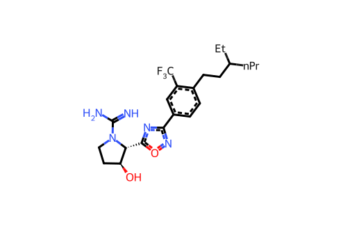 CCCC(CC)CCc1ccc(-c2noc([C@@H]3[C@@H](O)CCN3C(=N)N)n2)cc1C(F)(F)F